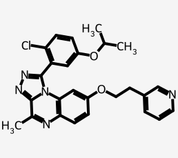 Cc1nc2ccc(OCCc3cccnc3)cc2n2c(-c3cc(OC(C)C)ccc3Cl)nnc12